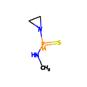 CN[PH](=S)N1CC1